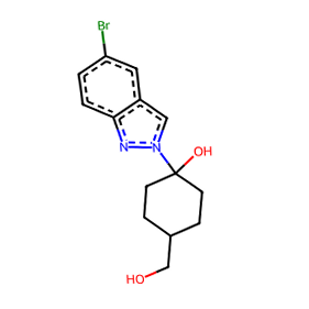 OCC1CCC(O)(n2cc3cc(Br)ccc3n2)CC1